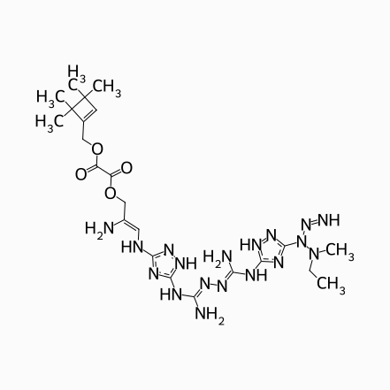 CCN(C)N(N=N)c1n[nH]c(N/C(N)=N/N=C(\N)Nc2nc(N/C=C(\N)COC(=O)C(=O)OCC3=CC(C)(C)C3(C)C)n[nH]2)n1